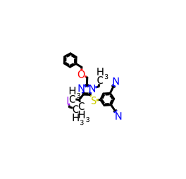 CCI.CCn1c(COCc2ccccc2)nc(C(C)C)c1Sc1cc(C#N)cc(C#N)c1